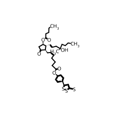 CCCCC(=O)O[C@@H]1CC(=O)[C@H](C/C=C\CCCC(=O)Oc2ccc(-c3cc(=S)ss3)cc2)[C@H]1/C=C/C[C@@](C)(O)CCCC